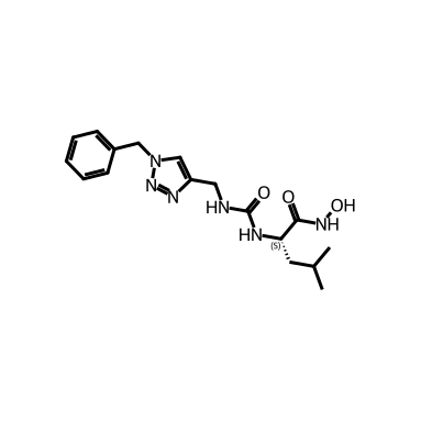 CC(C)C[C@H](NC(=O)NCc1cn(Cc2ccccc2)nn1)C(=O)NO